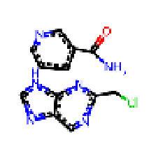 ClCc1ncc2nc[nH]c2n1.NC(=O)c1cccnc1